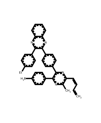 Bc1ccc(-c2nc(C)c(/C=C\C=C)nc2-c2ccc(-c3nc4ccccc4nc3-c3ccc(CC)cc3)cc2)cc1